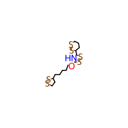 C(CCOC1NC(C2CCCSS2)SS1)CCC1CCSS1